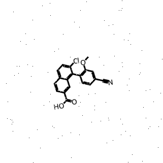 COc1cc(C#N)ccc1-c1c(Cl)ccc2ccc(C(=O)O)cc12